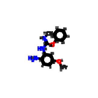 CCCOc1ccc(N)c(N/C(=N/C#N)Oc2ccccc2)c1